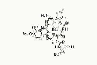 CC[C@@H]1C[C@]1(NC(=O)[C@@H]1C[C@@H](Oc2cc(-c3cccc(N)n3)nc3c(Cl)c(OC)ccc23)CN1C(=O)[C@@H](NC(=O)O[C@@H]1CC[C@H](C)C1)C(C)(C)C)C(=O)O